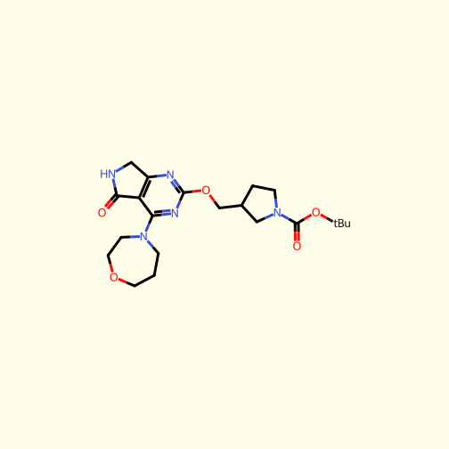 CC(C)(C)OC(=O)N1CCC(COc2nc3c(c(N4CCCOCC4)n2)C(=O)NC3)C1